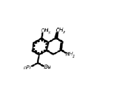 C=C1C=C(N)Cc2c(C(CCC)C(C)CC)ccc(C)c21